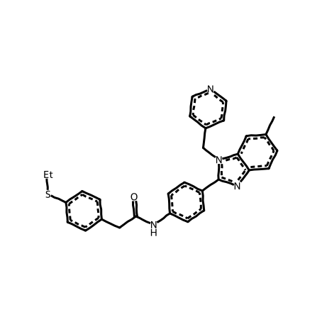 CCSc1ccc(CC(=O)Nc2ccc(-c3nc4ccc(C)cc4n3Cc3ccncc3)cc2)cc1